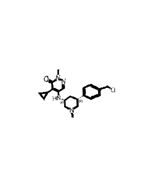 CN1C[C@H](Nc2cnn(C)c(=O)c2C2CC2)C[C@H](c2ccc(CCl)cc2)C1